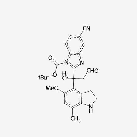 COc1cc(C)c2c(c1C(C)(CC=O)c1nc3cc(C#N)ccc3n1C(=O)OC(C)(C)C)CCN2